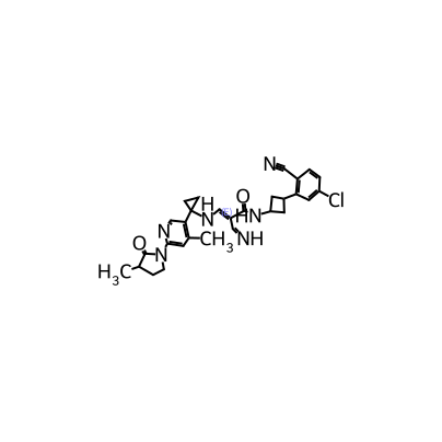 Cc1cc(N2CCC(C)C2=O)ncc1C1(N/C=C(\C=N)C(=O)NC2CC(c3cc(Cl)ccc3C#N)C2)CC1